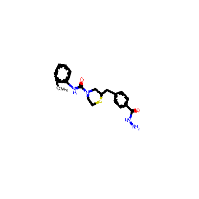 COc1ccccc1NC(=O)N1CCSC(Cc2ccc(C(=O)NN)cc2)C1